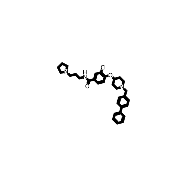 O=C(NCCCN1CCCC1)c1ccc(OC2CCN(Cc3ccc(-c4ccccc4)cc3)CC2)c(Cl)c1